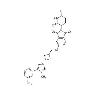 Cc1cccc(-c2cn([C@H]3C[C@H](CNc4ccc5c(c4)C(=O)N(C4CCC(=O)NC4=O)C5=O)C3)nc2C)n1